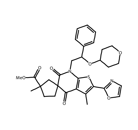 COC(=O)C1(C)CCC2(C1)C(=O)c1c(sc(-c3ncco3)c1C)N(CC(OC1CCOCC1)c1ccccc1)C2=O